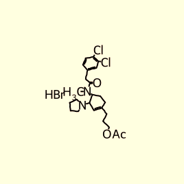 Br.CC(=O)OCCCC1=CC(N2CCCC2)C(N(C)C(=O)Cc2ccc(Cl)c(Cl)c2)CC1